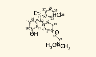 CCC(=C(c1ccc(OCCN(C)C)cc1)c1cccc(O)c1)c1ccccc1.Cl